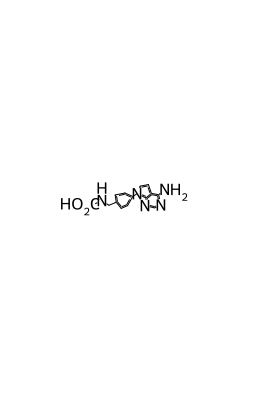 Nc1ncnc2c1ccn2-c1ccc(CNC(=O)O)cc1